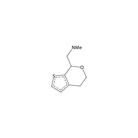 CNCC1OCCc2ccsc21